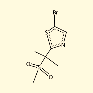 CC(C)(c1ncc(Br)s1)S(C)(=O)=O